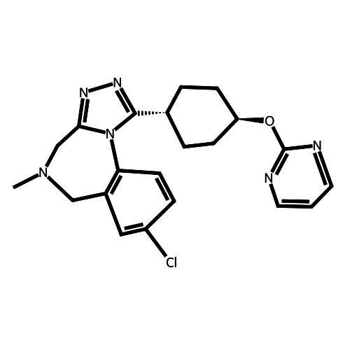 CN1Cc2cc(Cl)ccc2-n2c(nnc2[C@H]2CC[C@H](Oc3ncccn3)CC2)C1